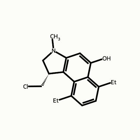 CCc1ccc(CC)c2c3c(cc(O)c12)N(C)C[C@H]3CCl